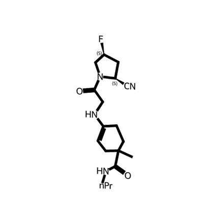 CCCNC(=O)C1(C)CC=C(NCC(=O)N2C[C@@H](F)C[C@H]2C#N)CC1